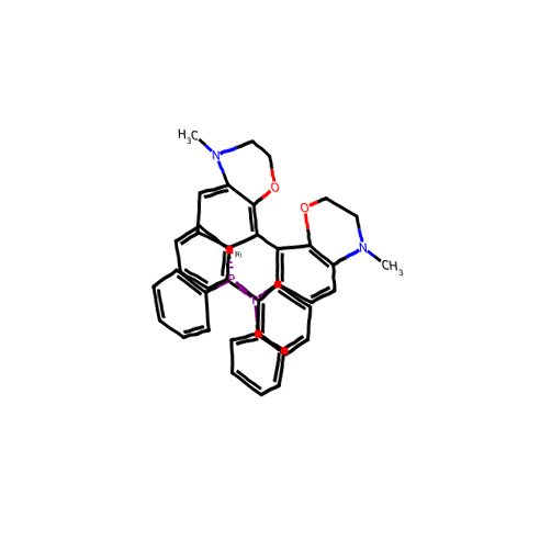 CN1CCOC2=C(c3c(P(c4ccccc4)c4ccccc4)ccc4c3OCCN4C)[C@H](P(c3ccccc3)c3ccccc3)CC=C21